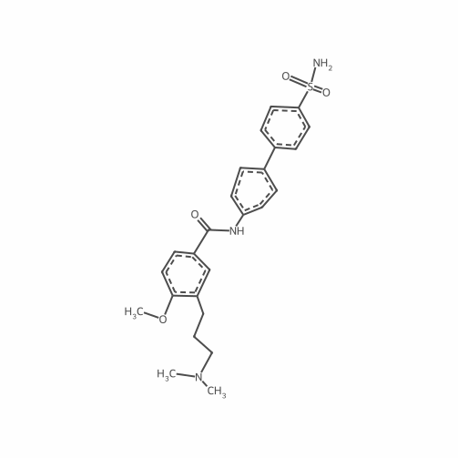 COc1ccc(C(=O)Nc2ccc(-c3ccc(S(N)(=O)=O)cc3)cc2)cc1CCCN(C)C